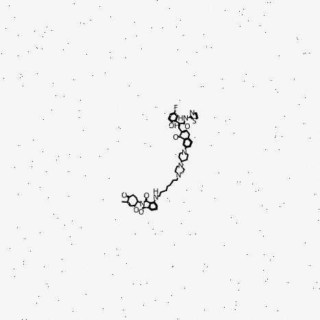 CC1=CC(=O)C(N2C(=O)c3cccc(NCCCCCCCN4CCN(C5CCN(c6ccc7c(c6)C(=O)C(CC(C(=O)Nc6nccs6)c6cc(F)ccc6O)=CC7)CC5)CC4)c3C2=O)CCC1=O